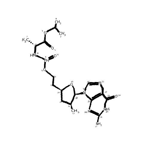 CC(C)OC(=O)[C@@H](C)N[PH](=O)OCC[C@@H]1C[C@H](C)[C@H](n2cnc3c(=O)[nH]c(N)nc32)O1